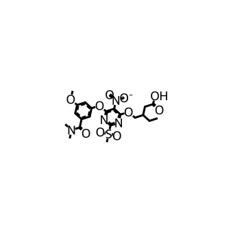 CCC(COc1nc(S(C)(=O)=O)nc(Oc2cc(OC)cc(C(=O)N(C)C)c2)c1[N+](=O)[O-])CC(=O)O